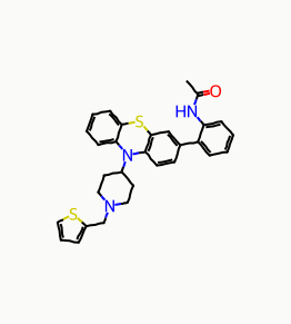 CC(=O)Nc1ccccc1-c1ccc2c(c1)Sc1ccccc1N2C1CCN(Cc2cccs2)CC1